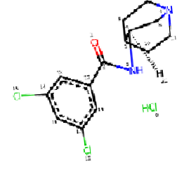 Cl.O=C(N[C@@H]1CN2CCC1CC2)c1cc(Cl)cc(Cl)c1